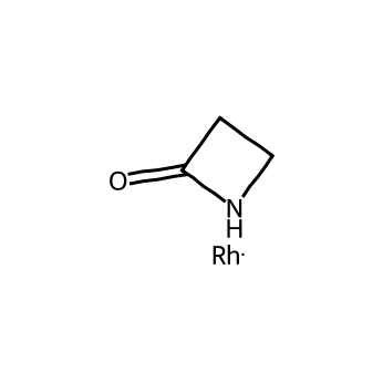 O=C1CCN1.[Rh]